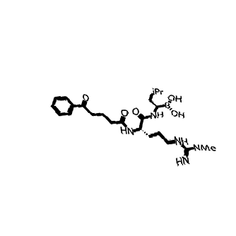 CNC(=N)NCCC[C@H](NC(=O)CCCC(=O)c1ccccc1)C(=O)N[C@@H](CC(C)C)B(O)O